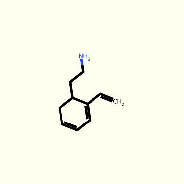 C=CC1=CC=CCC1CCN